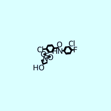 O=C(Nc1ccc(F)c(Cl)c1)c1ccc(Cl)c(S(=O)(=O)N2CC(O)C2)c1